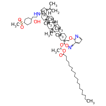 C=C(C)[C@@H]1CC[C@]2(NCC[C@]3(O)CC[C@@H](S(C)(=O)=O)CC3)CC[C@]3(C)[C@H](CC[C@@H]4[C@@]5(C)CC=C(C6=CC[C@@](COc7ncccc7C#N)(C(=O)OC(C)OC(=O)CCCCCCCCCCCCCCCCC)CC6)C(C)(C)[C@@H]5CC[C@]43C)[C@@H]12